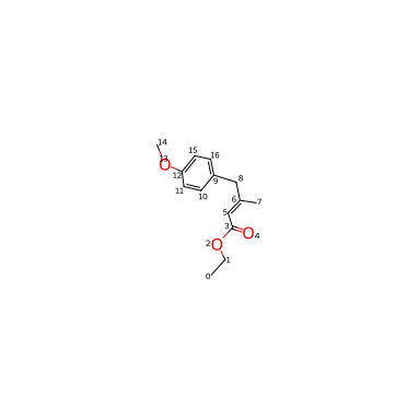 CCOC(=O)C=C(C)Cc1ccc(OC)cc1